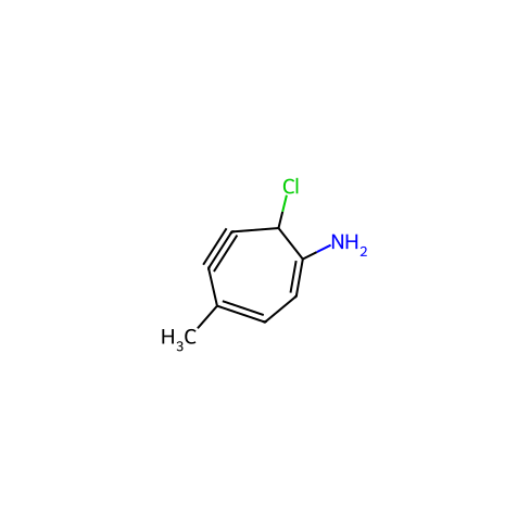 CC1=CC=C(N)C(Cl)C#C1